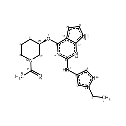 CCn1cc(Nc2nc(O[C@@H]3CCCN(C(C)=O)C3)c3cc[nH]c3n2)cn1